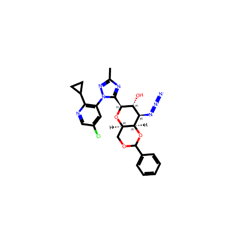 Cc1nc([C@@H]2O[C@@H]3COC(c4ccccc4)O[C@@H]3[C@H](N=[N+]=[N-])[C@H]2O)n(-c2cc(Cl)cnc2C2CC2)n1